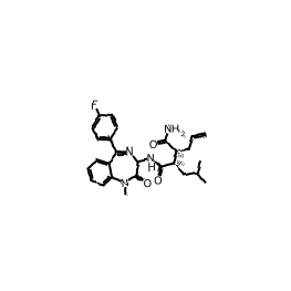 C=CC[C@H](C(N)=O)[C@@H](CC(C)C)C(=O)NC1N=C(c2ccc(F)cc2)c2ccccc2N(C)C1=O